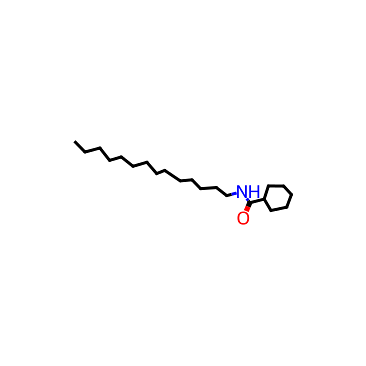 CCCCCCCCCCCCCCNC(=O)C1CCCCC1